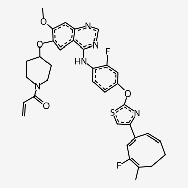 C=CC(=O)N1CCC(Oc2cc3c(Nc4ccc(Oc5nc(C6=C/C(F)=C(/C)CC/C=C\6)cs5)cc4F)ncnc3cc2OC)CC1